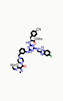 C=N/C(C(=O)N1CCN(Cc2cccc(Nc3nc(NCc4nc5cc(F)ccc5[nH]4)nc(N[C@@H](Cc4ccc(C#N)cc4)C(=O)OC)n3)c2)CC1)=C(\N=C/C)OC